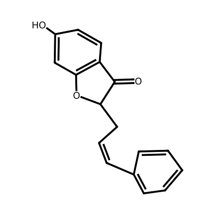 O=C1c2ccc(O)cc2OC1C/C=C\c1ccccc1